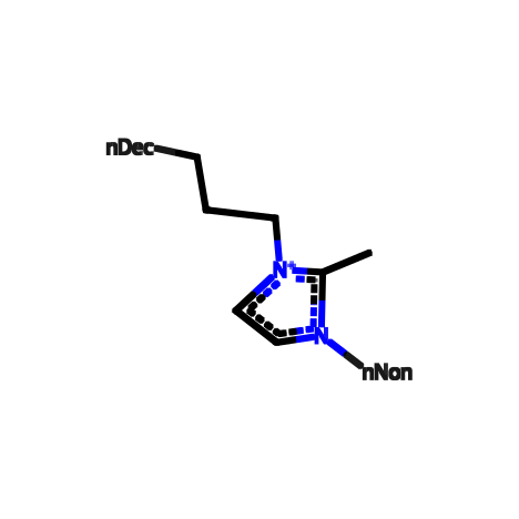 CCCCCCCCCCCCC[n+]1ccn(CCCCCCCCC)c1C